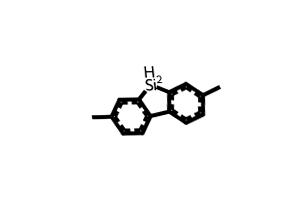 Cc1ccc2c(c1)[SiH2]c1cc(C)ccc1-2